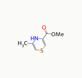 COC(=O)C1=CSC=C(C)N1